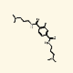 Cc1cc(C(=O)NCCCN(C)C)ccc1C(=O)NCCCN(C)C